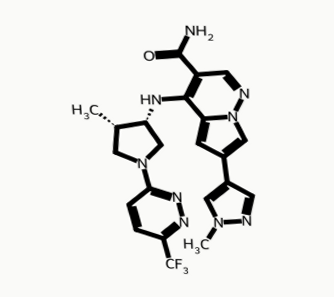 C[C@H]1CN(c2ccc(C(F)(F)F)nn2)C[C@H]1Nc1c(C(N)=O)cnn2cc(-c3cnn(C)c3)cc12